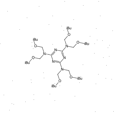 CCC(C)OCN(COC(C)CC)c1nc(N(COC(C)CC)COC(C)CC)nc(N(COC(C)CC)COC(C)CC)n1